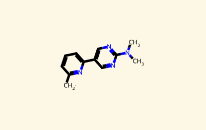 [CH2]c1cccc(-c2cnc(N(C)C)nc2)n1